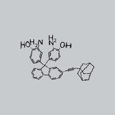 Nc1cc(C2(c3ccc(O)c(N)c3)c3ccccc3-c3ccc(C#CC45CC6CC(CC(C6)C4)C5)cc32)ccc1O